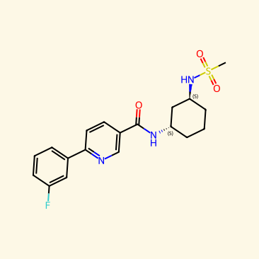 CS(=O)(=O)N[C@H]1CCC[C@H](NC(=O)c2ccc(-c3cccc(F)c3)nc2)C1